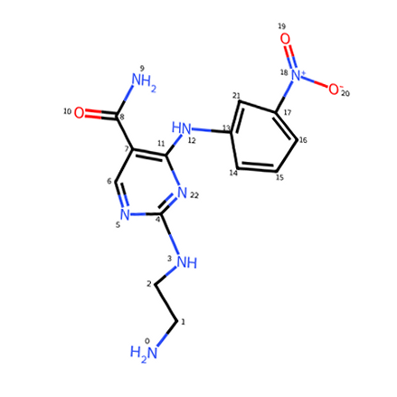 NCCNc1ncc(C(N)=O)c(Nc2cccc([N+](=O)[O-])c2)n1